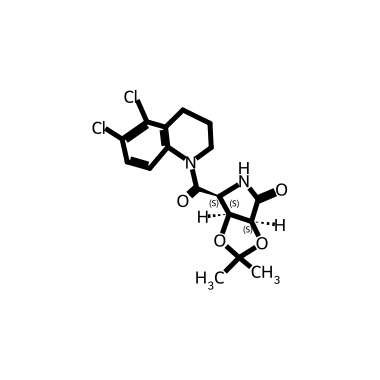 CC1(C)O[C@H]2[C@@H](C(=O)N3CCCc4c3ccc(Cl)c4Cl)NC(=O)[C@H]2O1